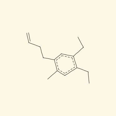 C=CCCc1cc(CC)c(CC)cc1C